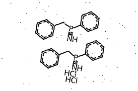 Cl.Cl.N=[PH](Cc1ccccc1)c1ccccc1.N=[PH](Cc1ccccc1)c1ccccc1